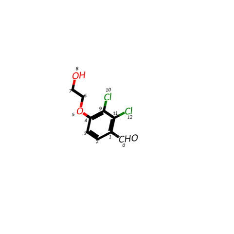 O=Cc1ccc(OCCO)c(Cl)c1Cl